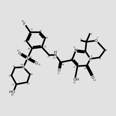 CC1(C)OCCn2c1nc(C(=O)NCc1ccc(F)cc1S(=O)(=O)N1CCC(O)CC1)c(O)c2=O